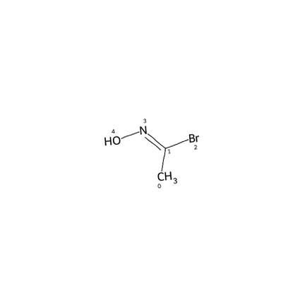 C/C(Br)=N\O